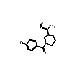 NC(=NO)C1CCCN(C(=O)c2ccc(F)cc2)C1